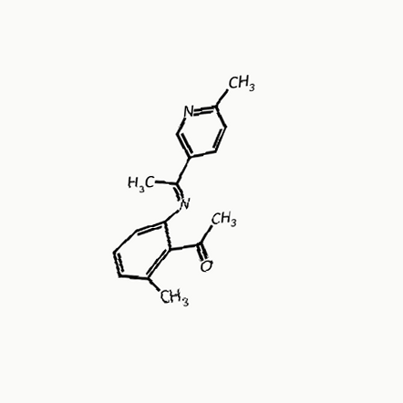 CC(=O)c1c(C)cccc1/N=C(\C)c1ccc(C)nc1